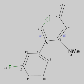 C=C/C=C(NC)\C(=C/Cl)c1cccc(F)c1